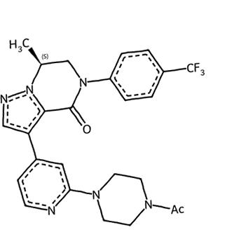 CC(=O)N1CCN(c2cc(-c3cnn4c3C(=O)N(c3ccc(C(F)(F)F)cc3)C[C@@H]4C)ccn2)CC1